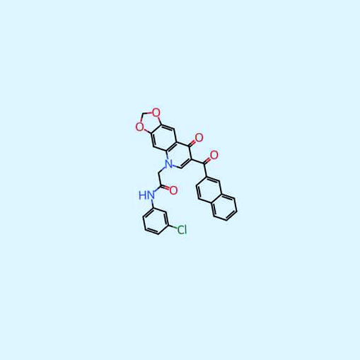 O=C(Cn1cc(C(=O)c2ccc3ccccc3c2)c(=O)c2cc3c(cc21)OCO3)Nc1cccc(Cl)c1